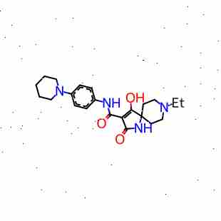 CCN1CCC2(CC1)NC(=O)C(C(=O)Nc1ccc(N3CCCCC3)cc1)=C2O